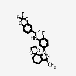 C[C@H](Nc1cc(-n2nc(C(F)(F)F)c3c2C2(CCC3)OCCO2)ccc1F)c1ccc2c(c1)OC(F)(F)O2